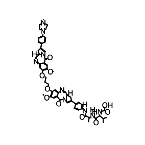 COc1cc2c(cc1OCCCOc1cc3c(cc1OC)C(=O)N1C=C(c4ccc(N5CCN(C)CC5)cc4)C[C@H]1C=N3)N=C[C@@H]1CC(c3ccc(NC(=O)C(C)NC(=O)C(NC(=O)O)C(C)C)cc3)=CN1C2=O